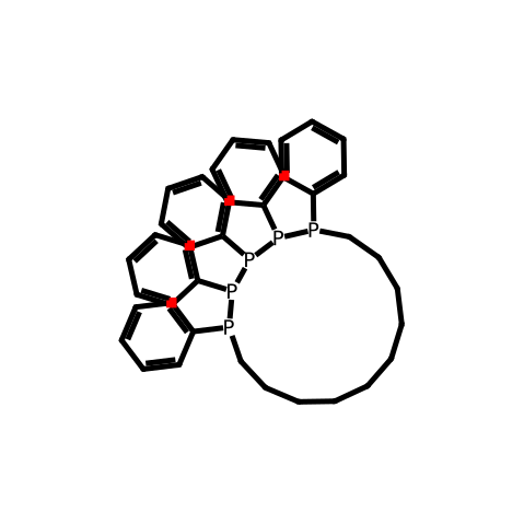 c1ccc(P2CCCCCCCCCCP(c3ccccc3)P(c3ccccc3)P(c3ccccc3)P2c2ccccc2)cc1